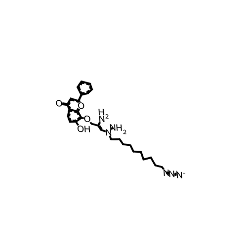 [N-]=[N+]=NCCCCCCCCCCN(N)/C=C(\N)COc1c(O)ccc2c(=O)cc(-c3ccccc3)oc12